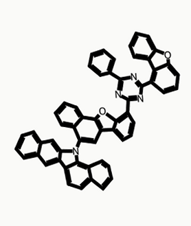 c1ccc(-c2nc(-c3cccc4c3oc3c5ccccc5c(-n5c6cc7ccccc7cc6c6ccc7ccccc7c65)cc43)nc(-c3cccc4oc5ccccc5c34)n2)cc1